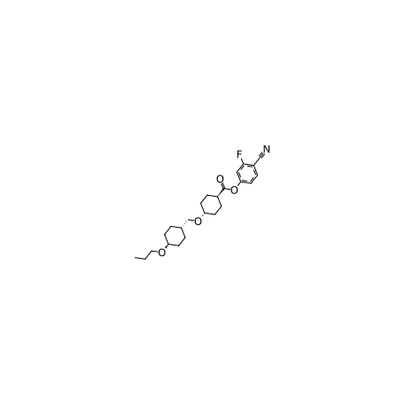 CCCO[C@H]1CC[C@H](CO[C@H]2CC[C@H](C(=O)Oc3ccc(C#N)c(F)c3)CC2)CC1